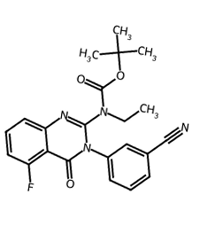 CCN(C(=O)OC(C)(C)C)c1nc2cccc(F)c2c(=O)n1-c1cccc(C#N)c1